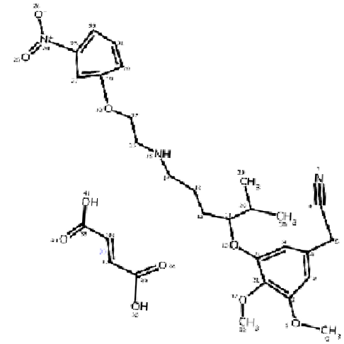 COc1cc(CC#N)cc(OC(CCCNCCOc2cccc([N+](=O)[O-])c2)C(C)C)c1OC.O=C(O)/C=C/C(=O)O